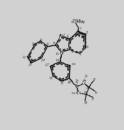 COc1cccc2c1nc(-c1ccccc1)n2-c1cccc(B2OC(C)(C)C(C)(C)O2)c1